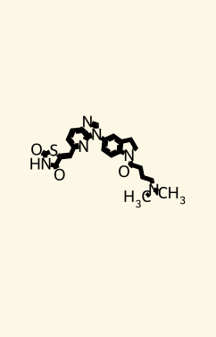 CN(C)CCCC(=O)N1CCc2cc(-n3cnc4ccc(/C=C5\SC(=O)NC5=O)nc43)ccc21